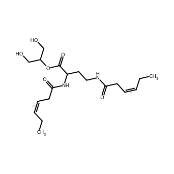 CC/C=C\CC(=O)NCCC(NC(=O)C/C=C\CC)C(=O)OC(CO)CO